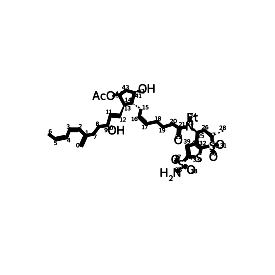 C=C(/C=C\C=C/C)CC[C@H](O)/C=C/[C@@H]1[C@@H](C/C=C\CCCC(=O)N(CC)[C@H]2C[C@H](C)S(=O)(=O)c3sc(S(N)(=O)=O)cc32)[C@@H](O)C[C@H]1OC(C)=O